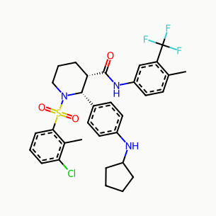 Cc1ccc(NC(=O)[C@H]2CCCN(S(=O)(=O)c3cccc(Cl)c3C)[C@H]2c2ccc(NC3CCCC3)cc2)cc1C(F)(F)F